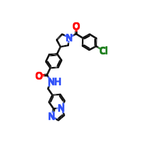 O=C(NCc1ccn2ccnc2c1)c1ccc(C2CCN(C(=O)c3ccc(Cl)cc3)C2)cc1